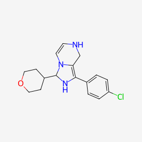 Clc1ccc(C2=C3CNC=CN3C(C3CCOCC3)N2)cc1